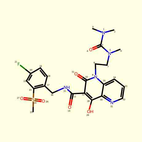 CN(C)C(=O)N(C)CCn1c(=O)c(C(=O)NCc2ccc(F)cc2S(C)(=O)=O)c(O)c2ncccc21